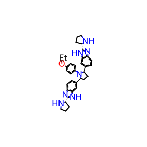 CCOc1ccc(N2[C@@H](c3ccc4nc([C@@H]5CCCN5)[nH]c4c3)CC[C@H]2c2ccc3nc([C@@H]4CCCN4)[nH]c3c2)cc1